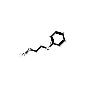 CCCOCCOc1cc[c]cc1